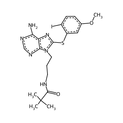 COc1ccc(I)c(Sc2nc3c(N)ncnc3n2CCCNC(=O)C(C)(C)C)c1